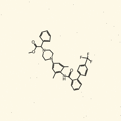 COC(=O)C(c1ccccc1)N1CCN(c2cc(C)c(NC(=O)c3ccccc3-c3ccc(C(F)(F)F)cc3)c(C)c2)CC1